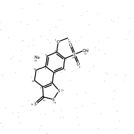 COc1cc2c(cc1S(=O)(=O)O)-c1ssc(=S)c1CC2.[Na]